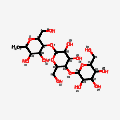 CC1OC(CO)C(OC2OC(CO)C(OC3OC(CO)C(O)C(O)C3O)C(O)C2O)C(O)C1O